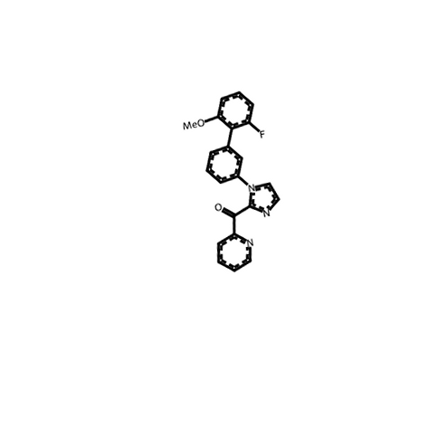 COc1cccc(F)c1-c1cccc(-n2ccnc2C(=O)c2ccccn2)c1